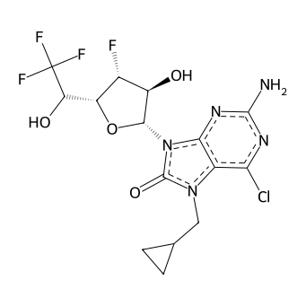 Nc1nc(Cl)c2c(n1)n([C@@H]1O[C@H](C(O)C(F)(F)F)[C@H](F)[C@H]1O)c(=O)n2CC1CC1